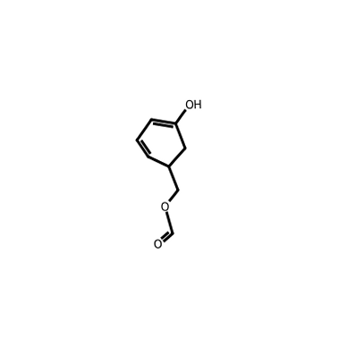 O=COCC1C=CC=C(O)C1